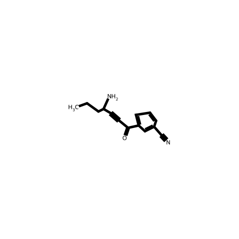 CCCC(N)C#CC(=O)c1cccc(C#N)c1